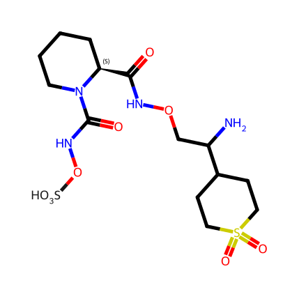 NC(CONC(=O)[C@@H]1CCCCN1C(=O)NOS(=O)(=O)O)C1CCS(=O)(=O)CC1